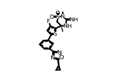 CN1C(=N)N[C@](C)(c2sc(-c3cccc(-c4noc(C5CC5)n4)c3)cc2F)CS1(=O)=O